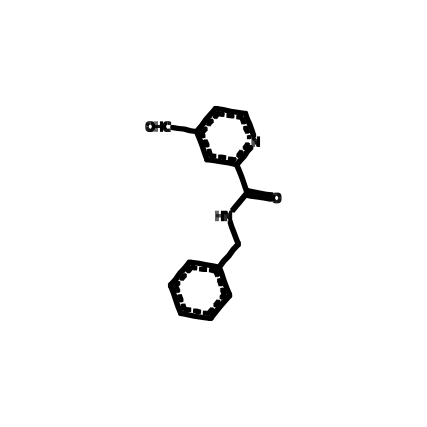 O=Cc1ccnc(C(=O)NCc2ccccc2)c1